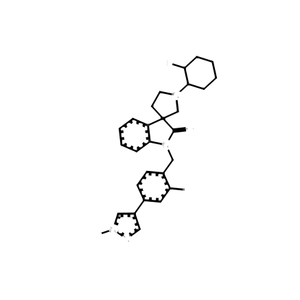 Cn1cc(-c2ccc(CN3C(=O)C4(CCN(C5CCCCC5F)C4)c4ccccc43)c(F)c2)cn1